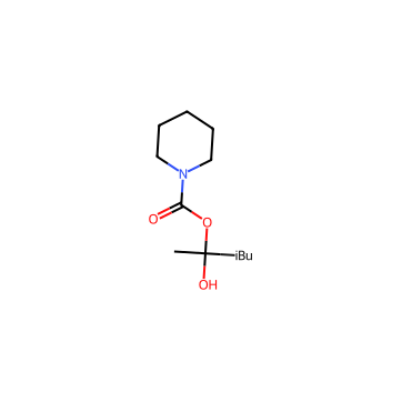 CCC(C)C(C)(O)OC(=O)N1CCCCC1